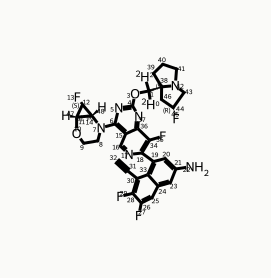 [2H]C([2H])(Oc1nc(N2CCO[C@@H]3[C@@H](F)[C@@H]32)c2cnc(-c3cc(N)cc4cc(F)c(F)c(C#C)c34)c(F)c2n1)[C@@]12CCCN1C[C@H](F)C2